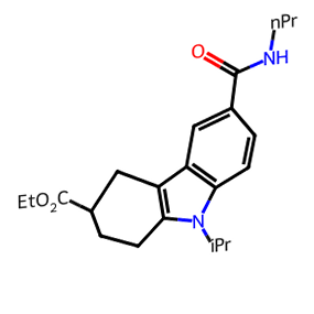 CCCNC(=O)c1ccc2c(c1)c1c(n2C(C)C)CCC(C(=O)OCC)C1